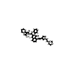 Cc1nn2cccnc2c1C(=O)NC(C)c1cc2cccc(C#Cc3cnn(CCN4CCOCC4)c3)c2c(=O)n1-c1ccccc1